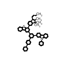 C=C/C=C\C1=C(C)C(C)(C)c2cc(-c3cc(-c4cc(-c5ccc(-c6ccccc6)cc5)cc(-c5ccc6c7ccccc7n(-c7ccccc7)c6c5)c4)cc4c3sc3ccccc34)ccc21